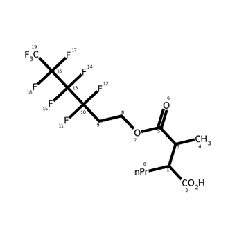 CCCC(C(=O)O)C(C)C(=O)OCCC(F)(F)C(F)(F)C(F)(F)C(F)(F)F